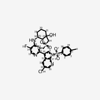 Cc1ccc(S(=O)(=O)n2cc(-c3ncc(F)c(N[C@H]4CCC[C@](O)(CS(C)(=O)=O)C4)n3)c3cc(Cl)cnc32)cc1